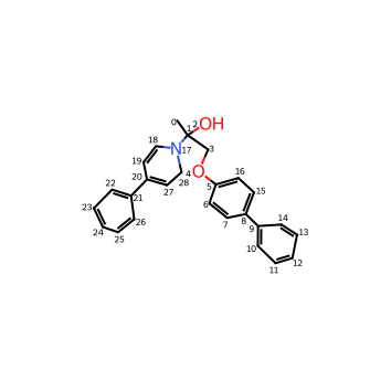 CC(O)(COc1ccc(-c2ccccc2)cc1)N1C=CC(c2ccccc2)=CC1